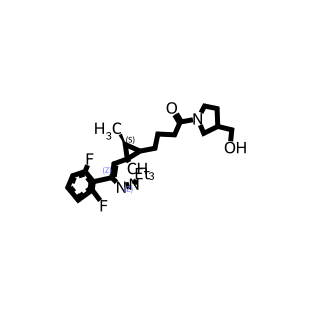 CC/N=N\C(=C/C1(C)C(CCCC(=O)N2CCC(CO)C2)[C@@H]1C)c1c(F)cccc1F